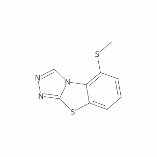 CSc1cccc2sc3nncn3c12